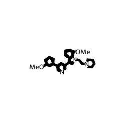 COc1cccc(-c2cncc(-c3cn(CCN4CCCCC4)c4c(OC)cccc34)c2)c1